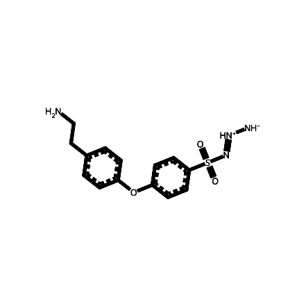 [NH-][NH+]=NS(=O)(=O)c1ccc(Oc2ccc(CCN)cc2)cc1